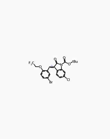 CC(C)(C)OC(=O)N1C(=O)/C(=C/c2cc(Br)ccc2OCC(F)(F)F)c2ccc(Cl)cc21